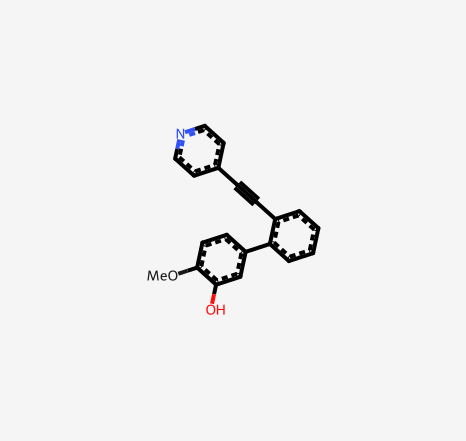 COc1ccc(-c2ccccc2C#Cc2ccncc2)cc1O